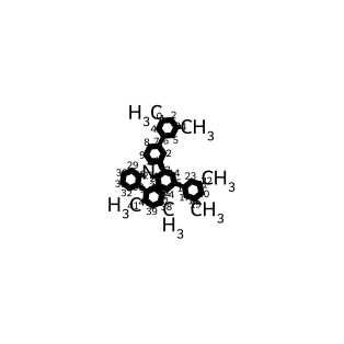 Cc1cc(C)cc(-c2ccc3c(c2)c2cc(-c4cc(C)cc(C)c4)ccc2n3-c2ccccc2-c2ccc(C)cc2C)c1